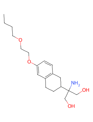 CCCCOCCOc1ccc2c(c1)CCC(C(N)(CO)CO)C2